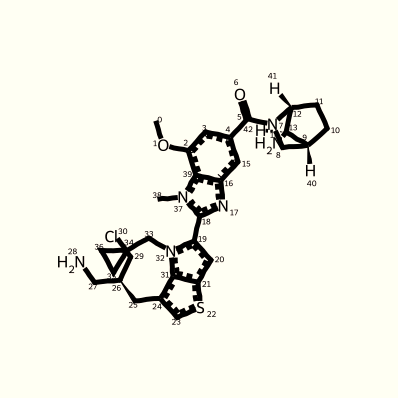 COc1cc(C(=O)N2C[C@H]3CC[C@@H]2[C@@H]3N)cc2nc(-c3cc4scc(C[C@@H](CN)CCl)c4n3CC3CC3)n(C)c12